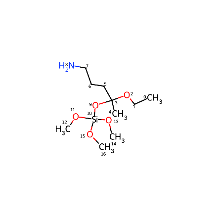 CCOC(C)(CCCN)O[Si](OC)(OC)OC